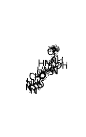 Cc1ncnc(C)c1NC(=O)c1ccc(Nc2snc(O)c2C(=N)NCCc2ncco2)cc1Cl